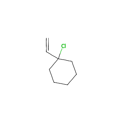 C=CC1(Cl)CCCCC1